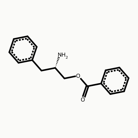 N[C@H](COC(=O)c1ccccc1)Cc1ccccc1